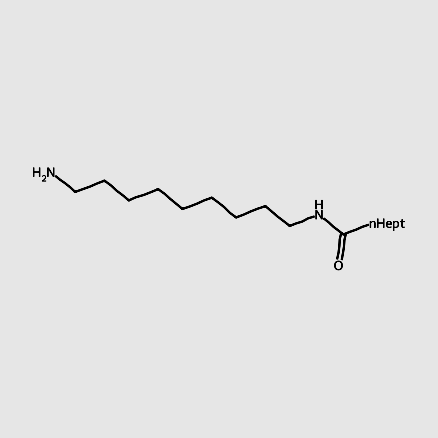 CCCCCCCC(=O)NCCCCCCCCCN